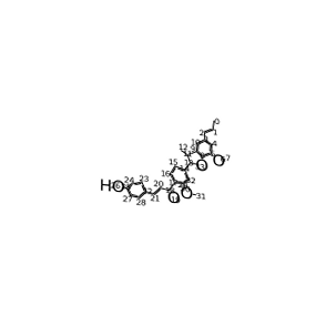 C/C=C/c1cc(OC)c2c(c1)C(C)C(c1ccc(C(=O)/C=C/c3ccc(O)cc3)c(OC)c1)O2